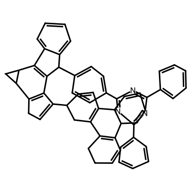 C1=CC2C3=C(CCC=C3)C3=C(C=CC(C4=CCC5=C4C4=C(c6ccccc6C4c4ccc(-c6nc(-c7ccccc7)nc(-c7ccccc7)n6)cc4)C4CC54)C3)C2C=C1